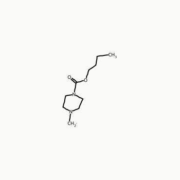 [CH2]N1CCN(C(=O)OCCCC)CC1